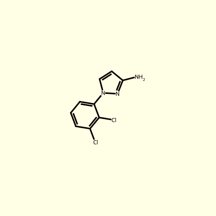 Nc1ccn(-c2cccc(Cl)c2Cl)n1